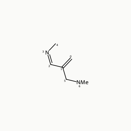 C=C(/C=N\C)CNC